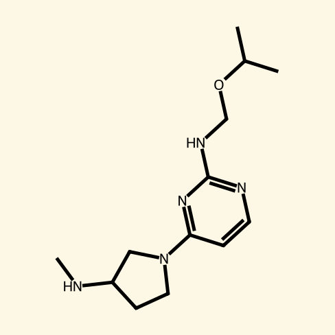 CNC1CCN(c2ccnc(NCOC(C)C)n2)C1